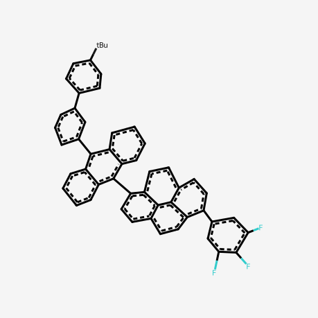 CC(C)(C)c1ccc(-c2cccc(-c3c4ccccc4c(-c4ccc5ccc6c(-c7cc(F)c(F)c(F)c7)ccc7ccc4c5c76)c4ccccc34)c2)cc1